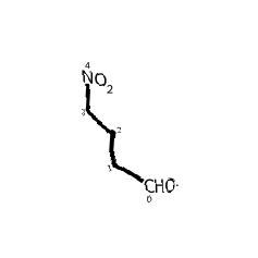 O=[C]CCC[N+](=O)[O-]